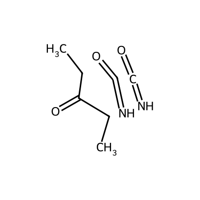 CCC(=O)CC.N=C=O.N=C=O